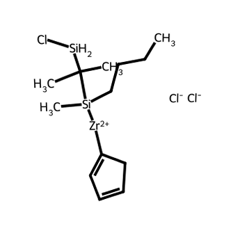 CCCC[Si](C)([Zr+2][C]1=CC=CC1)C(C)(C)[SiH2]Cl.[Cl-].[Cl-]